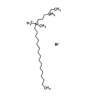 CCCCCCCCCCCCCCCC[N+](C)(C)CCC[SiH2]CC.[Br-]